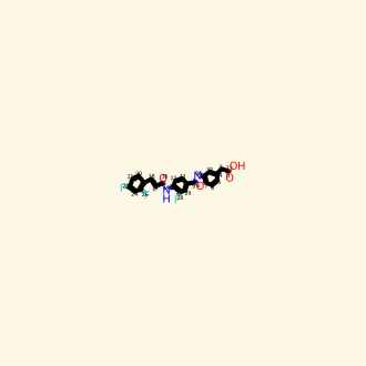 O=C(O)Cc1ccc2oc(-c3ccc(NC(=O)C=Cc4ccc(F)cc4F)c(F)c3)nc2c1